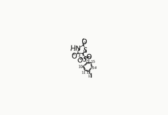 O=C1NC(=O)C(S(=O)(=O)c2ccc(I)cc2)S1